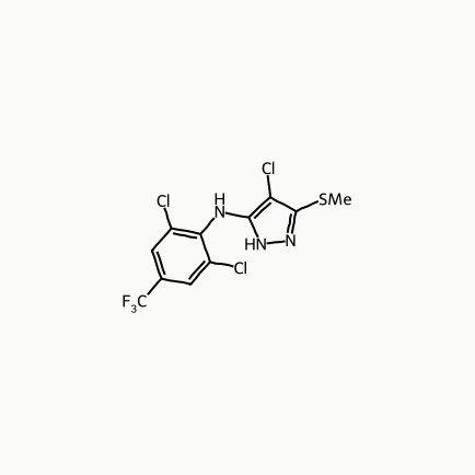 CSc1n[nH]c(Nc2c(Cl)cc(C(F)(F)F)cc2Cl)c1Cl